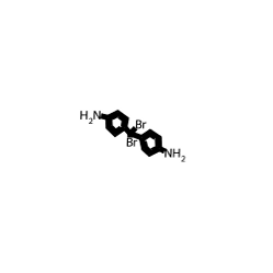 Nc1ccc(C(Br)(Br)c2ccc(N)cc2)cc1